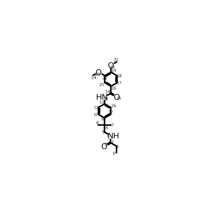 CCC(=O)NCC(C)(C)c1ccc(NC(=O)c2ccc(OC)c(OC)c2)cc1